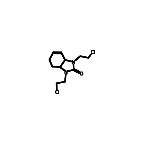 O=C1N(CCCl)C2C=CCCC2N1CCCl